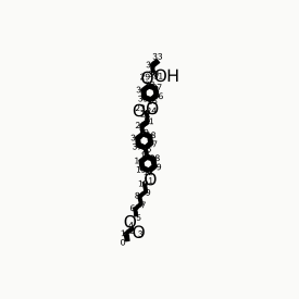 C=CC(=O)OCCCCCCOc1ccc(-c2ccc(/C=C/C(=O)Oc3ccc(OC(O)C=C)cc3)cc2)cc1